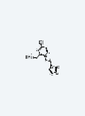 CC(C)(C)Cc1cc(Cl)ccc1CCn1cccc1